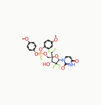 COc1ccc(OP(=S)(OC[C@@]2(C(F)F)O[C@@H](n3ccc(=O)[nH]c3=O)C(F)(F)[C@@H]2O)Oc2ccc(OC)cc2)cc1